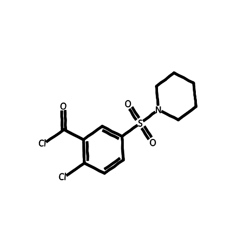 O=C(Cl)c1cc(S(=O)(=O)N2CCCCC2)ccc1Cl